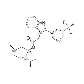 CC(C)[C@@H]1CC[C@@H](C)C[C@H]1OC(=O)Cn1c(-c2cccc(C(F)(F)F)c2)nc2ccccc21